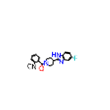 N#Cc1ccccc1C(=O)N1CCC(c2nc3cc(F)ccc3[nH]2)CC1